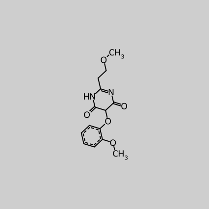 COCCC1=NC(=O)C(Oc2ccccc2OC)C(=O)N1